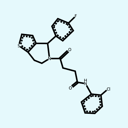 O=C(CCC(=O)N1CCc2sccc2C1c1ccc(F)cc1)Nc1ccccc1Cl